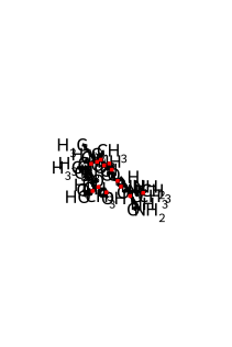 CCCCCCN(C(=O)[C@@H](NC(=O)C1(C)CCCN1C(=O)OCc1ccc(NC(=O)C(CCCNC(N)=O)NC(=O)C(N)C(C)C)cc1)[C@@H](C)CC)[C@H](C[C@@H](OC(C)=O)c1nc(C(=O)NC(Cc2ccc(O)cc2)CC(C)(C)C(=O)O)cs1)C(C)C